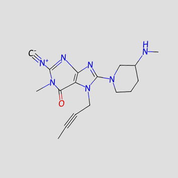 [C-]#[N+]c1nc2nc(N3CCCC(NC)C3)n(CC#CC)c2c(=O)n1C